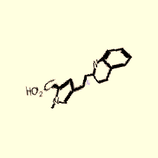 Cn1cc(/C=C/c2ccc3ccccc3n2)cc1C(=O)O